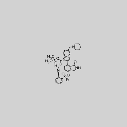 CC(C)(C)OC(=O)n1c(-c2ccc(OS(=O)(=O)c3ccccc3C#N)c3c2C(=O)NC3)cc2cc(CN3CCCCC3)ccc21